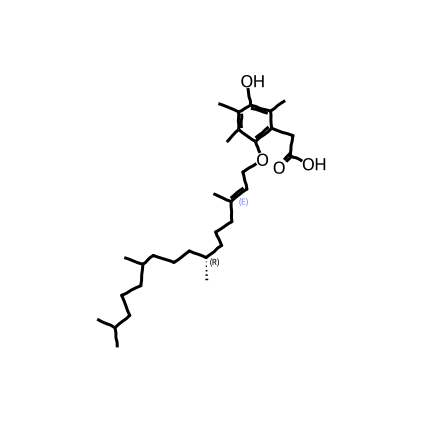 C/C(=C\COc1c(C)c(C)c(O)c(C)c1CC(=O)O)CCC[C@H](C)CCCC(C)CCCC(C)C